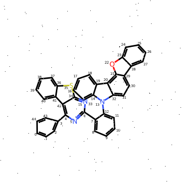 c1ccc(-c2nc(-c3ccccc3-n3c4ccccc4c4c5oc6ccccc6c5ccc43)nc3sc4ccccc4c23)cc1